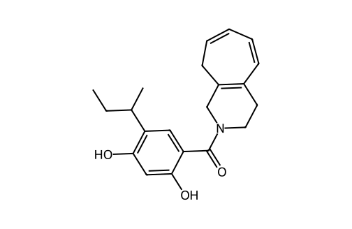 CCC(C)c1cc(C(=O)N2CCC3=C(CC=CC=C3)C2)c(O)cc1O